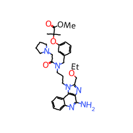 CCOCc1nc2c(N)nc3ccccc3c2n1CCCN(Cc1cccc(OC(C)(C)C(=O)OC)c1)C(=O)CN1CCCC1